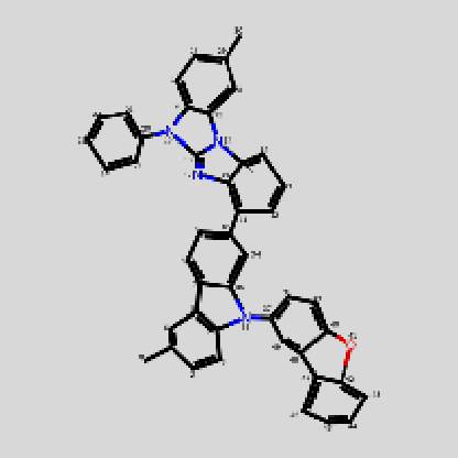 Cc1ccc2c(c1)c1ccc(-c3cccc4c3nc3n(-c5ccccc5)c5ccc(C)cc5n43)cc1n2-c1ccc2oc3ccccc3c2c1